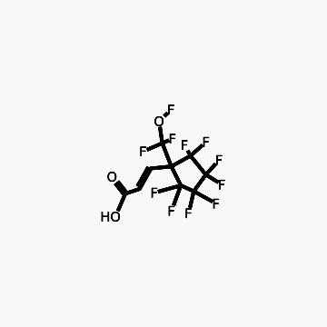 O=C(O)C=CC1(C(F)(F)OF)C(F)(F)C(F)(F)C(F)(F)C1(F)F